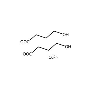 O=C([O-])CCCO.O=C([O-])CCCO.[Cu+2]